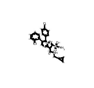 NS(=O)(=O)c1nn2c(-c3ccc(Cl)cc3)c(-c3ccccc3Cl)cnc2c1C(=O)NCC1CC1